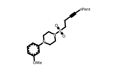 CCCCCC#C[CH]CS(=O)(=O)N1CCN(c2cccc(OC)c2)CC1